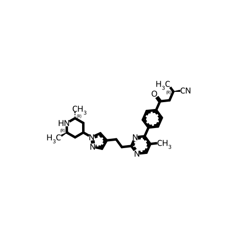 Cc1cnc(CCc2cnn(C3C[C@@H](C)N[C@H](C)C3)c2)nc1-c1ccc(C(=O)C[C@@H](C)C#N)cc1